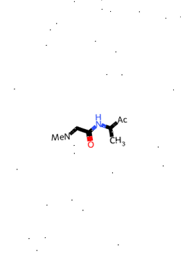 CNCC(=O)NC(C)C(C)=O